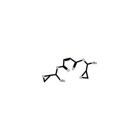 CCCCC(OC(=O)/C=C\C(=O)OC(CCCC)C1CO1)C1CO1